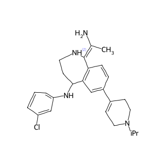 C/C(N)=C1/NCCC(Nc2cccc(Cl)c2)c2cc(C3=CCN(C(C)C)CC3)ccc21